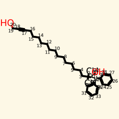 CC(C)(CCCCCCCCCCCCCCC#CCO)[Si](O)(c1ccccc1)c1ccccc1